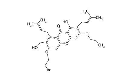 CCCOc1cc2oc3cc(OCCBr)c(CO)c(CC=C(C)C)c3c(=O)c2c(O)c1CC=C(C)C